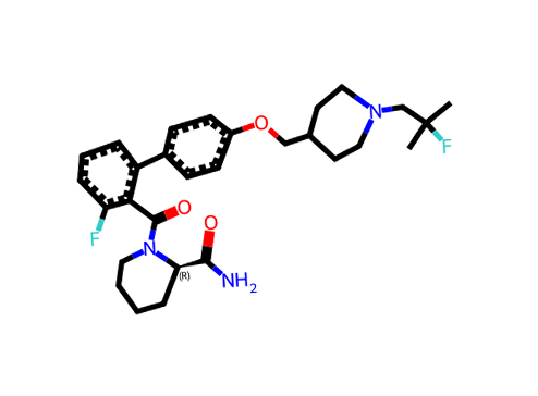 CC(C)(F)CN1CCC(COc2ccc(-c3cccc(F)c3C(=O)N3CCCC[C@@H]3C(N)=O)cc2)CC1